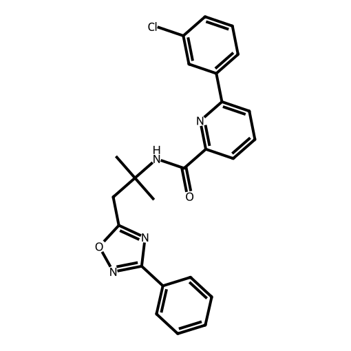 CC(C)(Cc1nc(-c2ccccc2)no1)NC(=O)c1cccc(-c2cccc(Cl)c2)n1